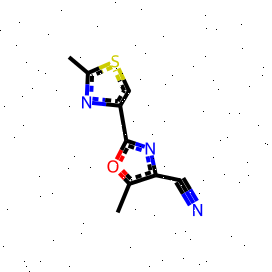 Cc1nc(-c2nc(C#N)c(C)o2)cs1